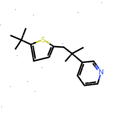 CC(C)(C)c1ccc(CC(C)(C)c2cccnc2)s1